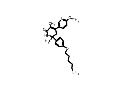 CCCCCCOc1ccc(C2(C)CC(c3ccc(OC)nc3)=C(C)C(=O)N2)cc1